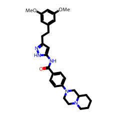 COc1cc(CCc2cc(NC(=O)c3ccc(N4CCN5CCCCC5C4)cc3)[nH]n2)cc(OC)c1